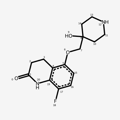 O=C1CCc2c(OCC3(O)CCNCC3)ccc(F)c2N1